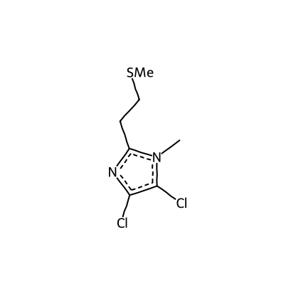 CSCCc1nc(Cl)c(Cl)n1C